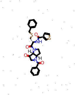 O=C(N[C@@H](CSCc1ccccc1)C(=O)N1CC[C@@H]2[C@H]1C(=O)CN2C(=O)c1ccccc1)c1ccsc1